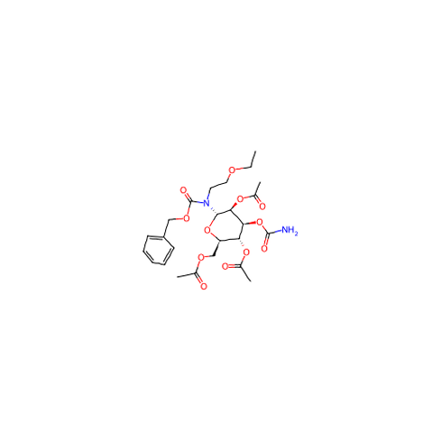 CCOCCN(C(=O)OCc1ccccc1)[C@H]1O[C@H](COC(C)=O)[C@@H](OC(C)=O)[C@H](OC(N)=O)[C@@H]1OC(C)=O